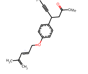 C=C(C)/C=C/COc1ccc(C(C#CC)CC(=O)OC)cc1